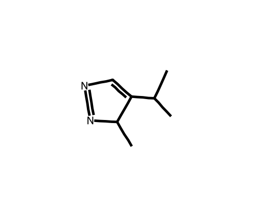 CC(C)C1=CN=NC1C